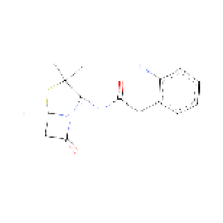 CC1(C)S[C@@H]2CC(=O)N2[C@@]1(NC(=O)Cc1ccccc1N)C(=O)O